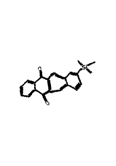 C[Si](C)(C)c1ccc2cc3c(cc2c1)C(=O)c1ccccc1C3=O